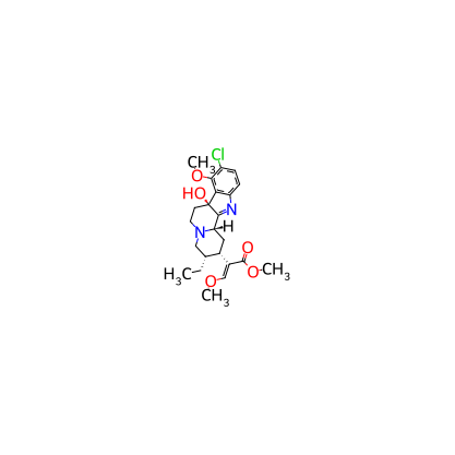 CC[C@@H]1CN2CC[C@@]3(O)C(=Nc4ccc(Cl)c(OC)c43)[C@@H]2C[C@@H]1/C(=C\OC)C(=O)OC